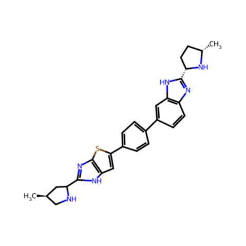 C[C@@H]1CNC(c2nc3sc(-c4ccc(-c5ccc6nc([C@@H]7CC[C@H](C)N7)[nH]c6c5)cc4)cc3[nH]2)C1